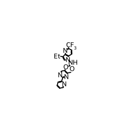 CCc1cn(NC(=O)Oc2cnc(-c3ccccn3)nc2C)c2ccc(C(F)(F)F)nc12